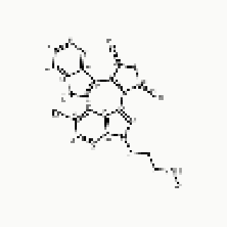 CNCCCn1cc(C2=C(c3c[nH]c4ccccc34)C(=O)NC2=O)c2cc(Br)ccc21